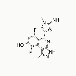 Cc1n[nH]c2nc(-c3cn(C)c(=N)s3)c3c(F)cc(O)c(F)c3c12